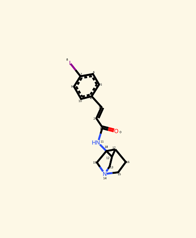 O=C(/C=C/c1ccc(I)cc1)NC1CN2CCC1CC2